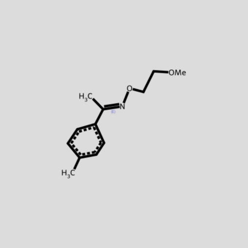 COCCO/N=C(\C)c1ccc(C)cc1